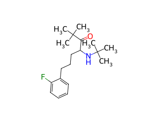 CC(C)(C)NC(CCCc1ccccc1F)C(=O)C(C)(C)C